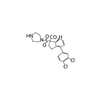 O=C(O)C1(S(=O)(=O)N2CCNCC2)CCc2c(-c3ccc(Cl)c(Cl)c3)cccc21